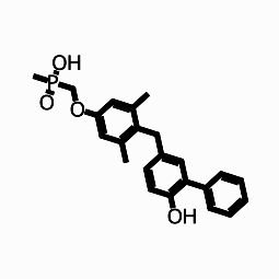 Cc1cc(OCP(C)(=O)O)cc(C)c1Cc1ccc(O)c(-c2ccccc2)c1